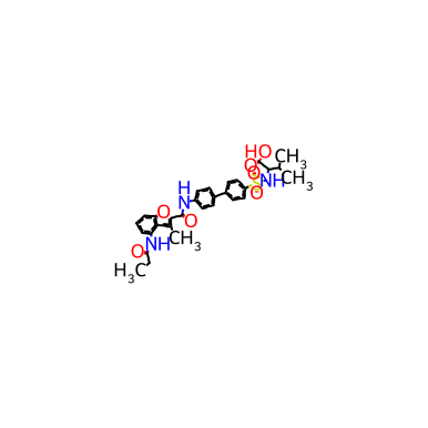 CCC(=O)Nc1cccc2oc(C(=O)Nc3ccc(-c4ccc(S(=O)(=O)NC(C(=O)O)C(C)C)cc4)cc3)c(C)c12